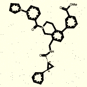 COC(=O)c1cccc(-c2ccc(CNC(=O)[C@@H]3C[C@H]3c3ccccc3)c3c2CCN(C(=O)c2cccc(-n4cccc4)c2)C3)c1